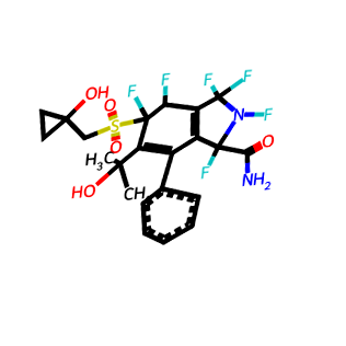 CC(C)(O)C1=C(c2ccccc2)C2=C(C(F)C1(F)S(=O)(=O)CC1(O)CC1)C(F)(F)N(F)C2(F)C(N)=O